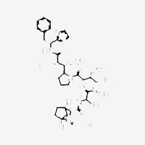 CC[C@H](C)[C@@H]([C@@H](CC(=O)N1CCCC1[C@H](OC)[C@@H](C)C(=O)N[C@@H](Cc1ccccc1)c1nccs1)OC)N(C)C(=O)C(NC(=O)[C@@H]1[C@H]2CC[C@H](C2)N1C(=O)O)C(C)C